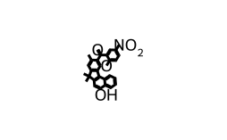 Cc1cc2c(c3oc4ccc([N+](=O)[O-])cc4c(=O)c13)-c1c(cc(O)c3ccccc13)C2(C)C